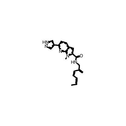 C=C(/C=C\C=C/C)CNC(=O)c1cc2ccc(-c3cn[nH]c3)nc2n1C